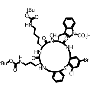 CN1C(=O)[C@H](CCCCNC(=O)OC(C)(C)C)NC(=O)[C@H](CCCNC(=O)OC(C)(C)C)NCc2ccccc2Sc2c(Cl)cc(Br)cc2CNC(=O)[C@@H]1Cc1cn(C(=O)O)c2ccccc12